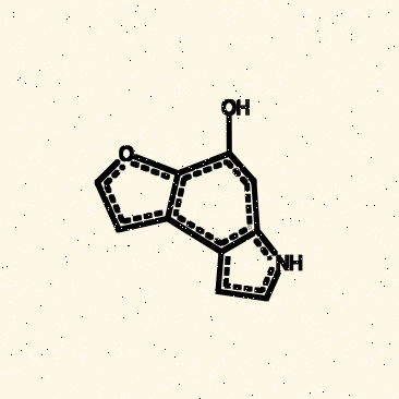 Oc1cc2[nH]ccc2c2ccoc12